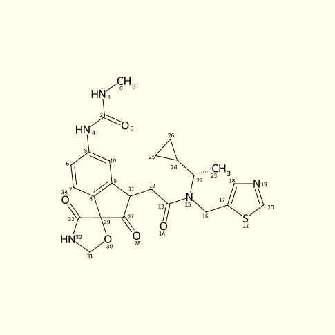 CNC(=O)Nc1ccc2c(c1)C(CC(=O)N(Cc1cncs1)[C@@H](C)C1CC1)C(=O)C21OCNC1=O